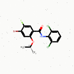 C[C@H](Oc1cc(Br)c(F)cc1C(=O)Nc1c(Cl)cccc1Cl)C(F)(F)F